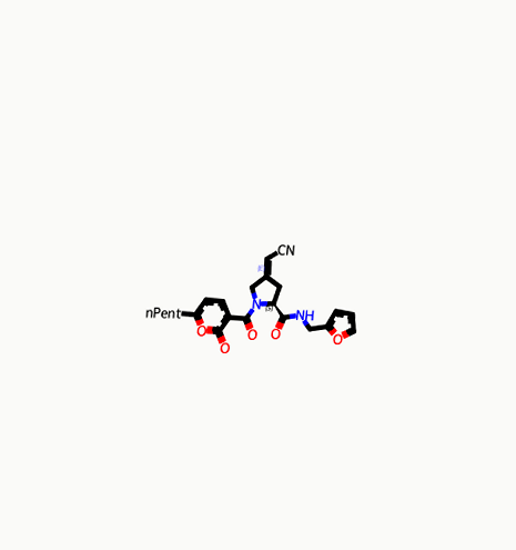 CCCCCc1ccc(C(=O)N2C/C(=C/C#N)C[C@H]2C(=O)NCc2ccco2)c(=O)o1